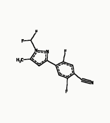 Cc1cc(-c2cc(F)c(C#N)cc2F)nn1C(F)F